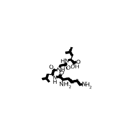 CC(C)C[C@H](NC(=O)CNC(=O)[C@H](CC(C)C)NC(=O)[C@@H](N)CCCCN)C(=O)O